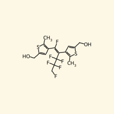 Cc1sc(CO)cc1C(F)=C(c1cc(CO)sc1C)C(F)(F)C(F)(F)CF